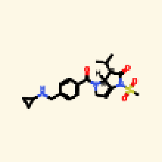 CC(C)[C@H]1C(=O)N(S(C)(=O)=O)C2=CCN(C(=O)c3ccc(CNC4CC4)cc3)[C@@H]21